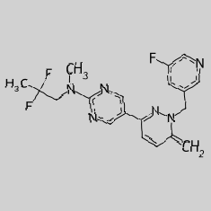 C=C1C=CC(c2cnc(N(C)CC(C)(F)F)nc2)=NN1Cc1cncc(F)c1